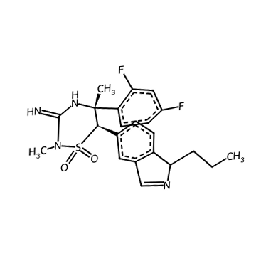 CCCC1N=Cc2cc([C@@H]3[C@@](C)(c4ccc(F)cc4F)NC(=N)N(C)S3(=O)=O)ccc21